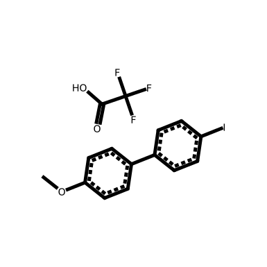 COc1ccc(-c2ccc(I)cc2)cc1.O=C(O)C(F)(F)F